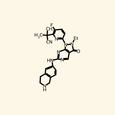 CCn1c(=O)c2cnc(Nc3ccc4c(c3)CCNC4)nc2n1-c1ccc(F)c(C(C)(C)C#N)n1